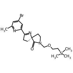 Cc1cc(Br)cc(C2=N[C@@]3(CC2)CCN(COCC[Si](C)(C)C)C3=O)n1